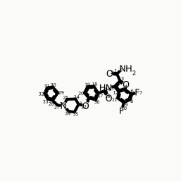 NC(=O)c1oc2c(F)cc(F)cc2c1NC(=O)c1cccc(OC2CCN(Cc3ccccc3)CC2)c1